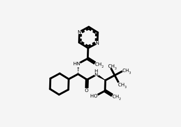 C=C(N[C@H](C(=O)N[C@H](C(=C)O)C(C)(C)C)C1CCCCC1)c1cnccn1